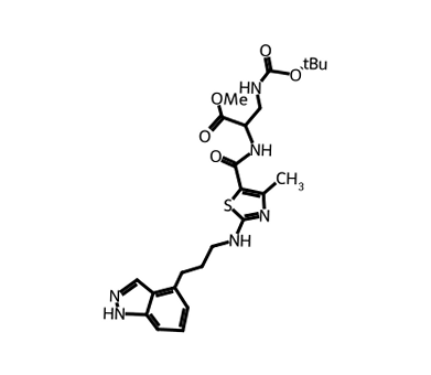 COC(=O)C(CNC(=O)OC(C)(C)C)NC(=O)c1sc(NCCCc2cccc3[nH]ncc23)nc1C